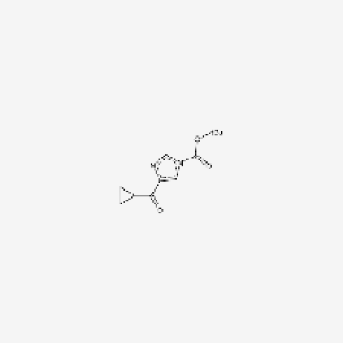 CC(C)(C)OC(=O)n1cnc(C(=O)C2CC2)c1